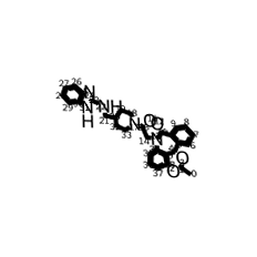 CC(=O)OC1c2ccccc2C(=O)N(CC(=O)N2CCC(CNc3nc4ccccc4[nH]3)CC2)c2ccccc21